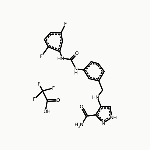 NC(=O)c1n[nH]cc1NCc1cccc(NC(=O)Nc2cc(F)ccc2F)c1.O=C(O)C(F)(F)F